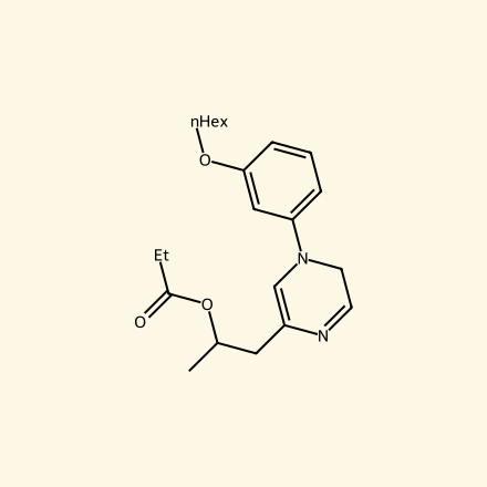 CCCCCCOc1cccc(N2C=C(CC(C)OC(=O)CC)N=CC2)c1